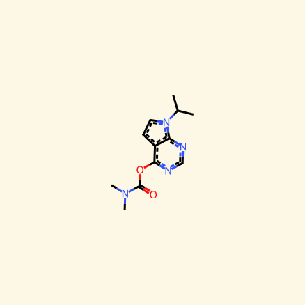 CC(C)n1ccc2c(OC(=O)N(C)C)ncnc21